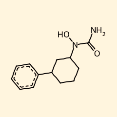 NC(=O)N(O)C1CCCC(c2ccccc2)C1